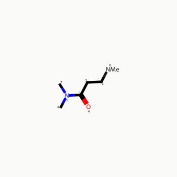 CNCCC(=O)N(C)C